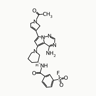 CC(=O)N1CC=C(c2cc(N3CCC[C@@H](NC(=O)c4cccc(S(=O)(=O)F)c4)C3)c3c(N)ncnn23)C1